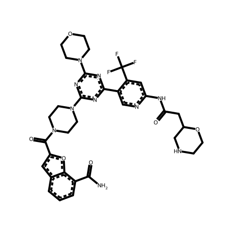 NC(=O)c1cccc2cc(C(=O)N3CCN(c4nc(-c5cnc(NC(=O)CC6CNCCO6)cc5C(F)(F)F)nc(N5CCOCC5)n4)CC3)oc12